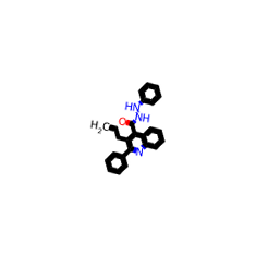 C=CCc1c(-c2ccccc2)nc2ccccc2c1C(=O)NNc1ccccc1